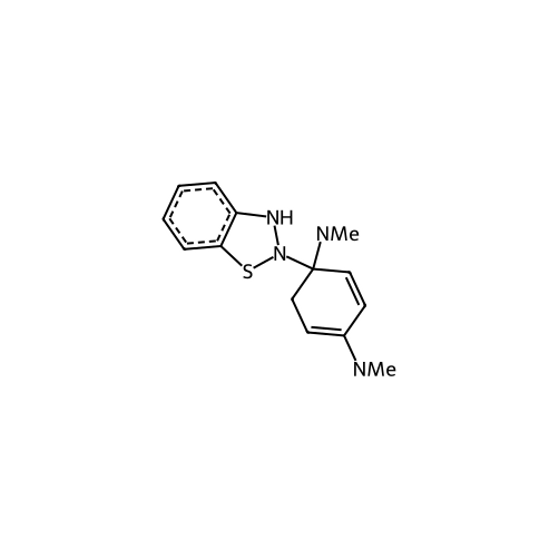 CNC1=CCC(NC)(N2Nc3ccccc3S2)C=C1